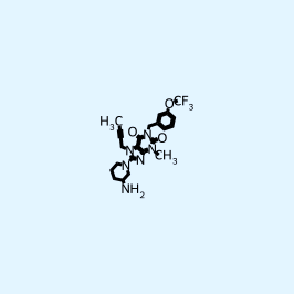 CC#CCn1c(N2CCCC(N)C2)nc2c1c(=O)n(Cc1cccc(OC(F)(F)F)c1)c(=O)n2C